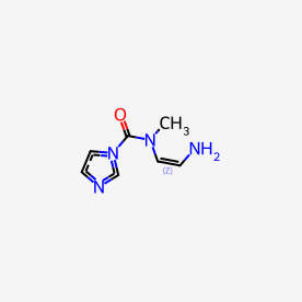 CN(/C=C\N)C(=O)n1ccnc1